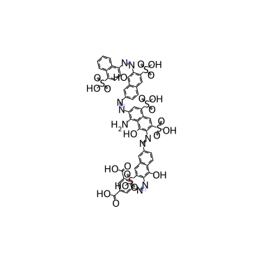 Nc1c(/N=N\c2ccc3cc(S(=O)(=O)O)c(/N=N\c4ccc(S(=O)(=O)O)c5ccccc45)c(O)c3c2)cc(S(=O)(=O)O)c2cc(S(=O)(=O)O)c(N=Nc3ccc4c(O)c(/N=N\c5cc(C(=O)O)cc(C(=O)O)c5)c(S(=O)(=O)O)cc4c3)c(O)c12